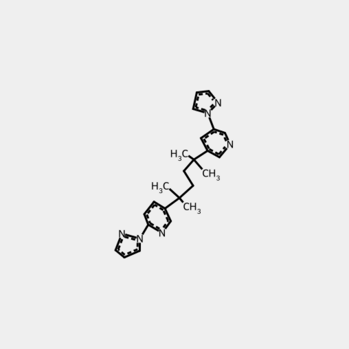 CC(C)(CCC(C)(C)c1cncc(-n2cccn2)c1)c1ccc(-n2cccn2)nc1